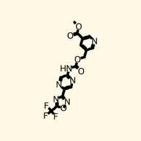 COC(=O)c1cncc(COC(=O)Nc2cnc(-c3noc(C(F)(F)F)n3)cn2)c1